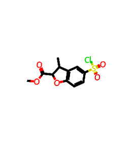 COC(=O)C1Oc2ccc(S(=O)(=O)Cl)cc2C1C